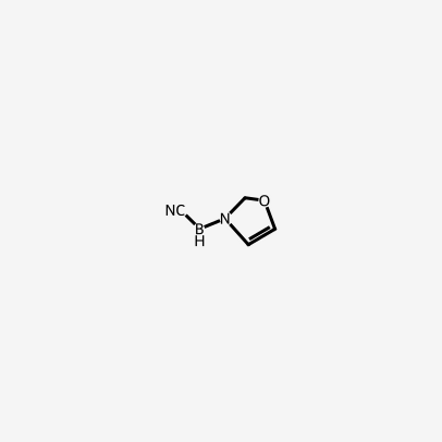 N#CBN1C=COC1